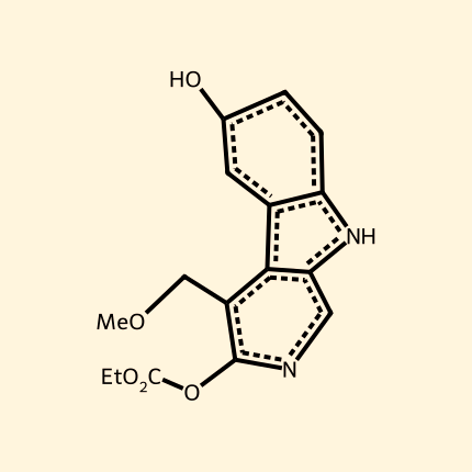 CCOC(=O)Oc1ncc2[nH]c3ccc(O)cc3c2c1COC